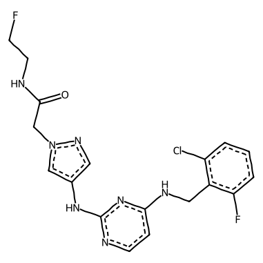 O=C(Cn1cc(Nc2nccc(NCc3c(F)cccc3Cl)n2)cn1)NCCF